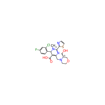 CN1C(c2nccs2)=NC(CN2CCOC[C@@H]2CO)=C(C(=O)O)C1c1ccc(F)cc1Cl